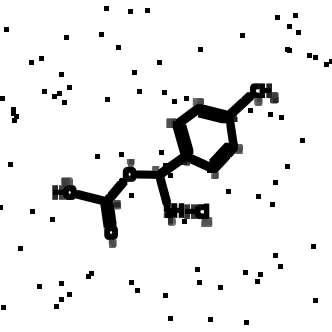 Cc1ccc(C(S)OC(=O)O)cc1.Cl